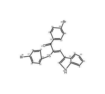 O=C(C(=Cc1c[nH]c2ccccc12)Sc1ccc(Br)cc1)c1ccc(Br)cc1